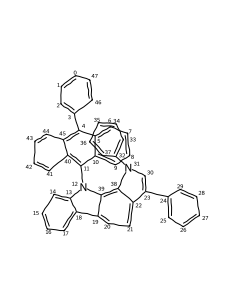 c1ccc(-c2c3ccccc3c(-n3c4ccccc4c4ccc5c(-c6ccccc6)cn(-c6ccccc6)c5c43)c3ccccc23)cc1